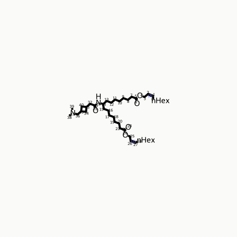 CCCCCC/C=C\COC(=O)CCCCCCCC(CCCCCCCC(=O)OC/C=C\CCCCCC)NC(=O)CC1CC(CN(C)C)C1